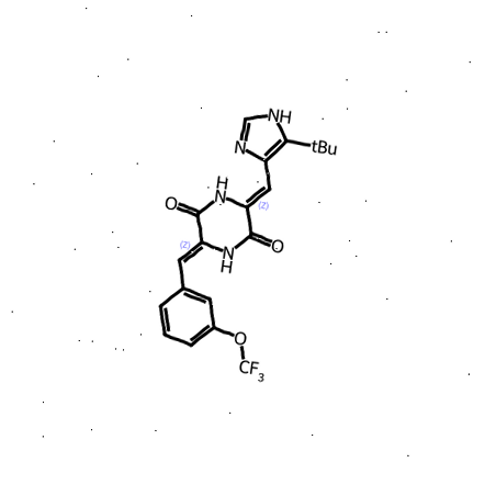 CC(C)(C)c1[nH]cnc1/C=c1\[nH]c(=O)/c(=C/c2cccc(OC(F)(F)F)c2)[nH]c1=O